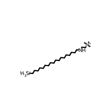 C[N+](C)(C)CCNCCCCCCCCCCCCCCCCCC[SiH3]